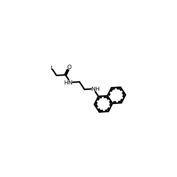 O=C(CI)NCCNc1cccc2ccccc12